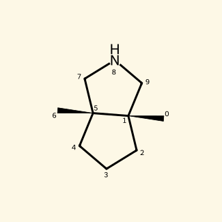 C[C@@]12CCC[C@]1(C)CNC2